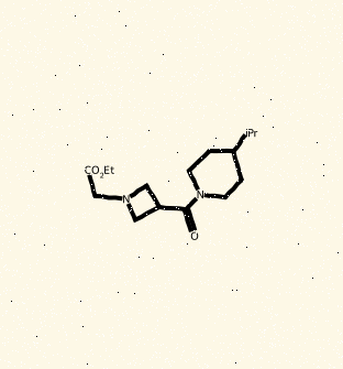 CCOC(=O)CN1CC(C(=O)N2CCC(C(C)C)CC2)C1